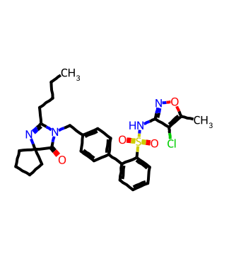 CCCCC1=NC2(CCCC2)C(=O)N1Cc1ccc(-c2ccccc2S(=O)(=O)Nc2noc(C)c2Cl)cc1